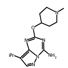 CC(C)c1cnn2c(N)nc(OC3CCN(C)CC3)nc12